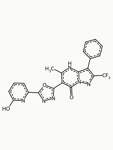 Cc1[nH]c2c(-c3ccccc3)c(C(F)(F)F)nn2c(=O)c1-c1nnc(-c2cccc(O)n2)o1